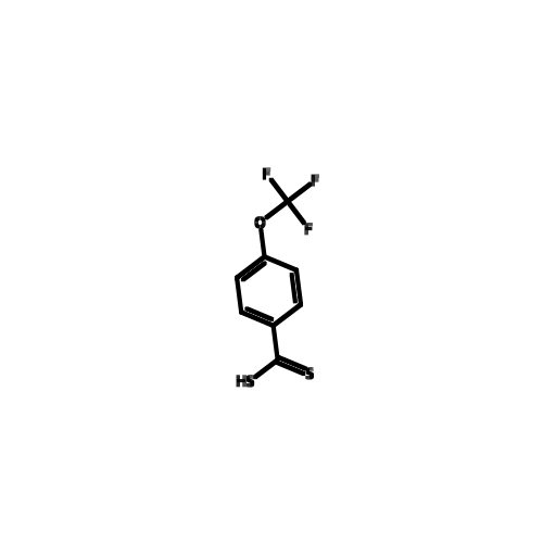 FC(F)(F)Oc1ccc(C(=S)S)cc1